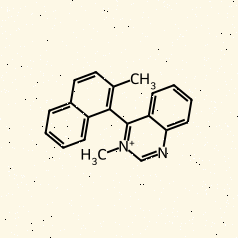 Cc1ccc2ccccc2c1-c1c2ccccc2nc[n+]1C